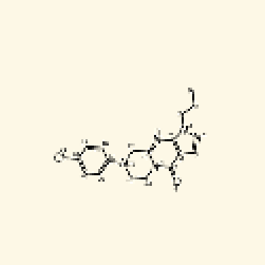 CCCn1ncc2c(=O)n3c(nc21)CN(c1ccc(Cl)cc1)CC3